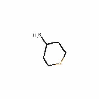 BC1CCSCC1